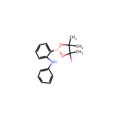 CC1(C)OB(c2ccccc2Nc2ccccc2)OC1(C)I